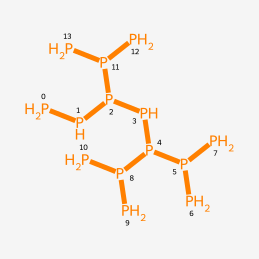 PPP(PP(P(P)P)P(P)P)P(P)P